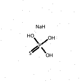 OP(O)(O)=S.[NaH]